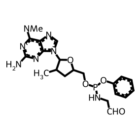 CNc1nc(N)nc2c1ncn2C1OC(COP(NCC=O)Oc2ccccc2)CC1C